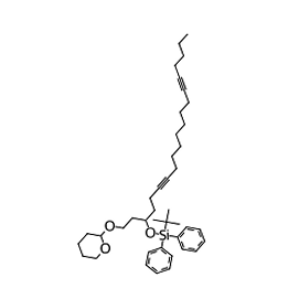 CCCCC#CCCCCCCCC#CCCC(CCOC1CCCCO1)O[Si](c1ccccc1)(c1ccccc1)C(C)(C)C